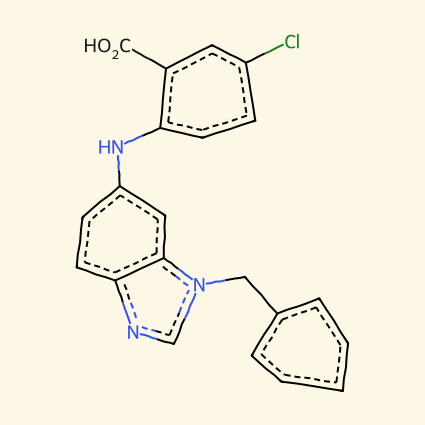 O=C(O)c1cc(Cl)ccc1Nc1ccc2ncn(Cc3ccccc3)c2c1